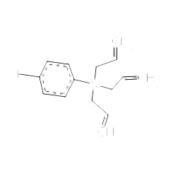 C=CC[Si](CC=C)(CC=C)c1ccc(I)cc1